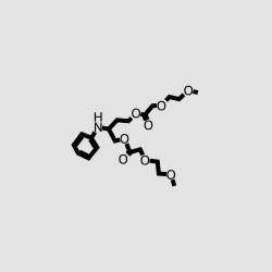 COCCOCC(=O)OCCC(COC(=O)COCCOC)Nc1ccccc1